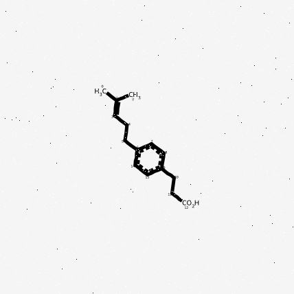 CC(C)=CCCc1ccc(CCC(=O)O)cc1